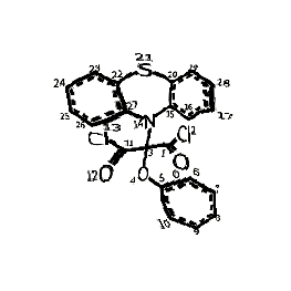 O=C(Cl)C(Oc1ccccc1)(C(=O)Cl)N1c2ccccc2Sc2ccccc21